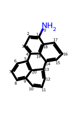 Nc1ccc2c3cccc4cccc(c5cccc1c52)c43